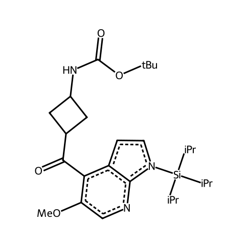 COc1cnc2c(ccn2[Si](C(C)C)(C(C)C)C(C)C)c1C(=O)C1CC(NC(=O)OC(C)(C)C)C1